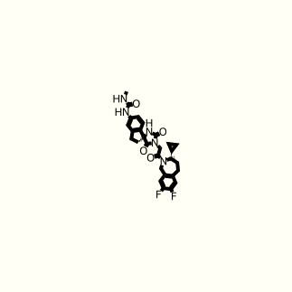 CNC(=O)Nc1ccc2c(c1)CC[C@@]21NC(=O)N(CC(=O)N2Cc3cc(F)c(F)cc3CC[C@H]2C2CC2)C1=O